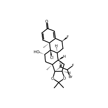 CC1(C)O[C@@H]2C[C@H]3[C@@H]4C[C@H](F)C5=CC(=O)C=C[C@]5(C)[C@@]4(Cl)[C@@H](O)C[C@]3(C)[C@]2(C(=O)C(F)Br)O1